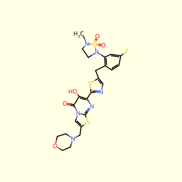 CN1CCN(c2cc(F)ccc2Cc2cnc(-c3nc4sc(CN5CCOCC5)cn4c(=O)c3O)s2)S1(=O)=O